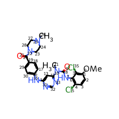 COc1ccc(Cl)c(NC(=O)N(C)c2cc(Nc3ccc(C(=O)N4CCN(C)CC4)cc3)ncn2)c1Cl